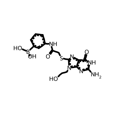 Nc1nc2c(nc(SCC(=O)Nc3cccc(B(O)O)c3)n2CCO)c(=O)[nH]1